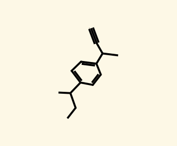 [C]#CC(C)c1ccc(C(C)CC)cc1